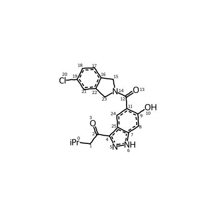 CC(C)CC(=O)c1n[nH]c2cc(O)c(C(=O)N3Cc4ccc(Cl)cc4C3)cc12